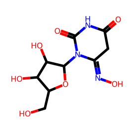 O=C1C/C(=N\O)N(C2OC(CO)C(O)C2O)C(=O)N1